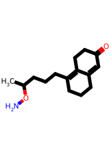 CC(CCCC1=C2CCC(=O)C=C2CCC1)ON